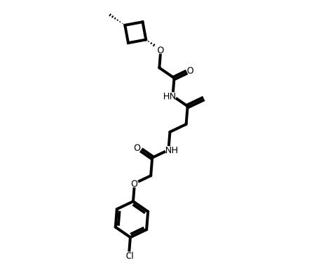 C=C(CCNC(=O)COc1ccc(Cl)cc1)NC(=O)CO[C@H]1C[C@@H](C)C1